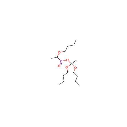 CCCCOC(C)[PH](=O)OC(C)(OCCCC)OCCCC